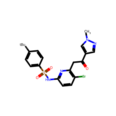 Cn1cc(C(=O)Cc2nc(NS(=O)(=O)c3ccc(C(C)(C)C)cc3)ccc2Br)cn1